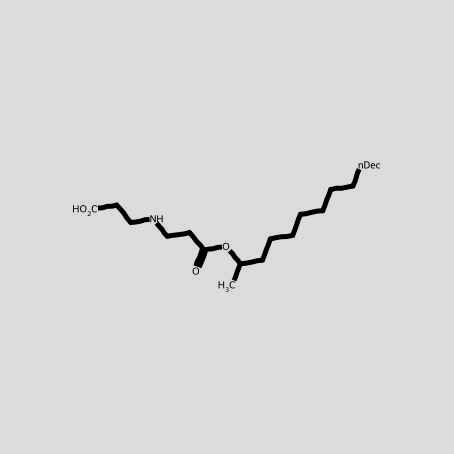 CCCCCCCCCCCCCCCCCC(C)OC(=O)CCNCCC(=O)O